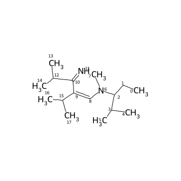 CCC(C(C)C)N(C)/C=C(\C(=N)C(C)C)C(C)C